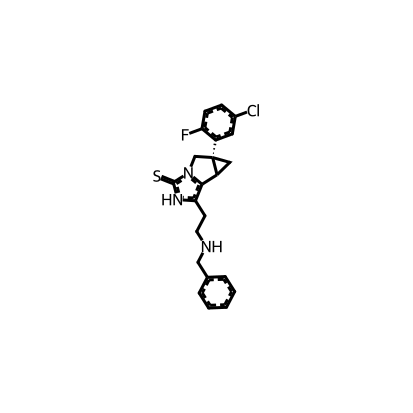 Fc1ccc(Cl)cc1[C@]12CC1c1c(CCNCc3ccccc3)[nH]c(=S)n1C2